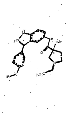 CCOC(=O)CN1CC[C@@](SC)(C(=O)Nc2ccc3c(c2)C(c2ccc(OC(C)C)nc2)NN3)C1